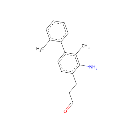 Cc1ccccc1-c1ccc(CCC=O)c(N)c1C